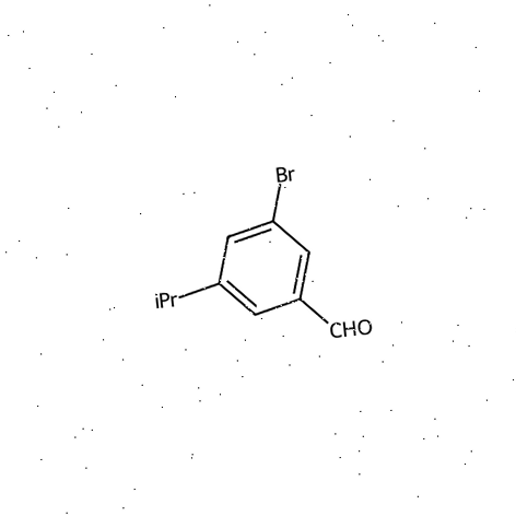 CC(C)c1cc(Br)cc(C=O)c1